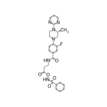 C[C@H]1CN(c2ccc(C(=O)NCCC(=O)ONS(=O)(=O)c3ccccc3)cc2F)CCN1c1ncccn1